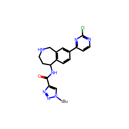 CC(C)(C)n1cc(C(=O)NC2CCNCc3cc(-c4ccnc(Cl)n4)ccc32)nn1